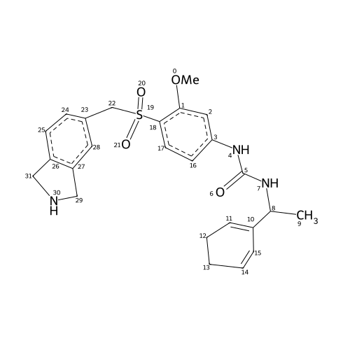 COc1cc(NC(=O)NC(C)C2=CCCC=C2)ccc1S(=O)(=O)Cc1ccc2c(c1)CNC2